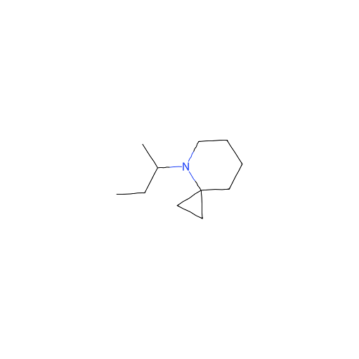 CCC(C)N1CCCCC12CC2